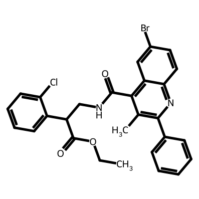 CCOC(=O)C(CNC(=O)c1c(C)c(-c2ccccc2)nc2ccc(Br)cc12)c1ccccc1Cl